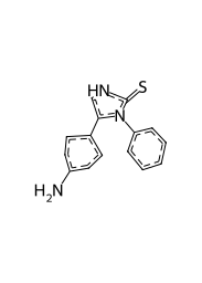 Nc1ccc(-c2c[nH]c(=S)n2-c2ccccc2)cc1